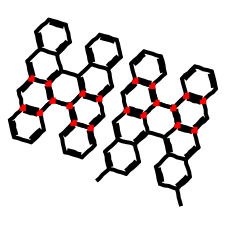 Cc1ccc2c(-c3c(P(c4ccccc4)c4ccccc4)ccc4cc(C)ccc34)c(P(c3ccccc3)c3ccccc3)ccc2c1.c1ccc(P(c2ccccc2)c2ccc3ccccc3c2-c2c(P(c3ccccc3)c3ccccc3)ccc3ccccc23)cc1